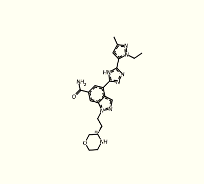 CCn1nc(C)cc1-c1nnc(-c2cc(C(N)=O)cc3c2cnn3CC[C@@H]2COCCN2)[nH]1